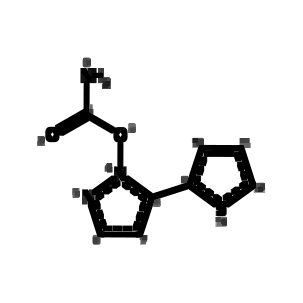 NC(=O)On1nccc1-c1cccs1